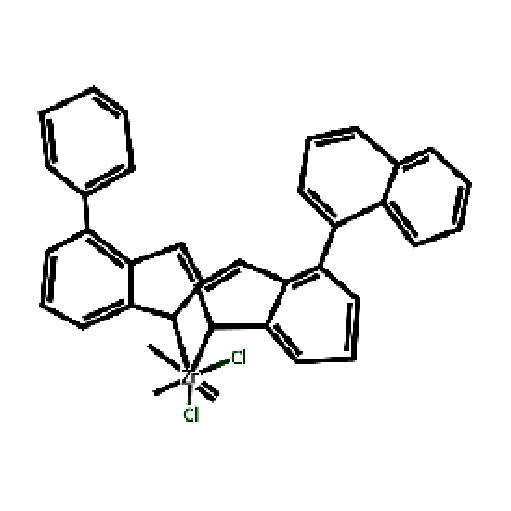 [CH2]=[Zr]([CH3])([CH3])([Cl])([Cl])([CH]1C=Cc2c(-c3ccccc3)cccc21)[CH]1C=Cc2c(-c3cccc4ccccc34)cccc21